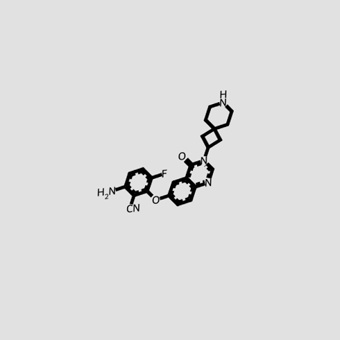 N#Cc1c(N)ccc(F)c1Oc1ccc2ncn(C3CC4(CCNCC4)C3)c(=O)c2c1